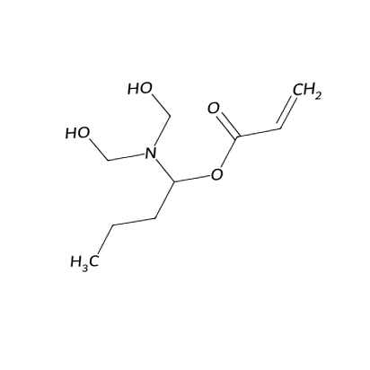 C=CC(=O)OC(CCC)N(CO)CO